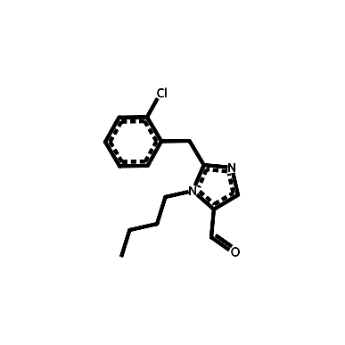 CCCCn1c(C=O)cnc1Cc1ccccc1Cl